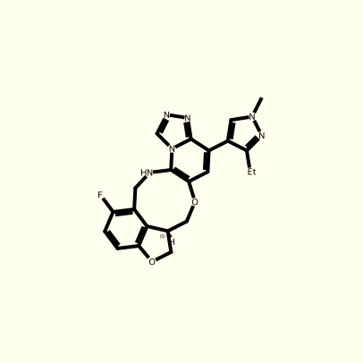 CCc1nn(C)cc1-c1cc2c(n3cnnc13)NCc1c(F)ccc3c1[C@@H](CO3)CO2